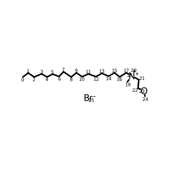 CCCCCCCCCCCCCCCCCC[N+](C)(C)CCOC.[Br-]